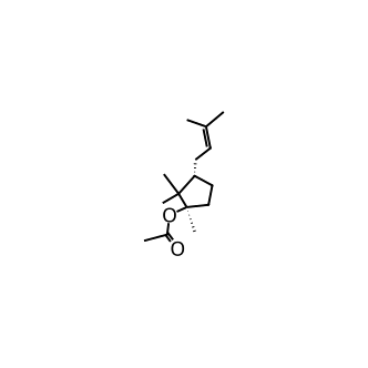 CC(=O)O[C@]1(C)CC[C@@H](CC=C(C)C)C1(C)C